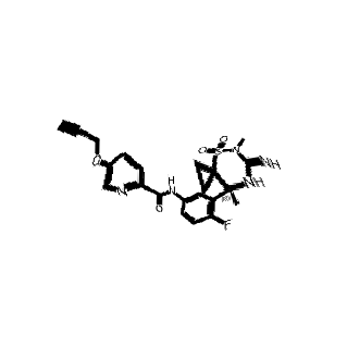 C#CCOc1ccc(C(=O)Nc2ccc(F)c([C@@]3(C)NC(=N)N(C)S(=O)(=O)C34CC4)c2)nc1